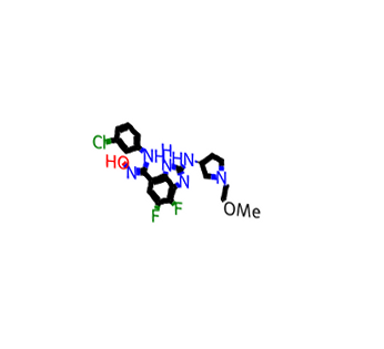 COCCN1CC[C@@H](Nc2nc3c(F)c(F)cc(/C(=N/O)Nc4cccc(Cl)c4)c3[nH]2)C1